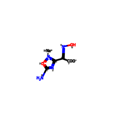 Nc1nc(C(=NO)C(=O)[O-])no1.[Na+]